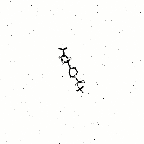 CC(C)c1nnc(C2CCN(C(=O)OC(C)(C)C)CC2)o1